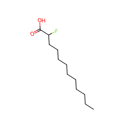 CCCCCCCCCCC(F)C(=O)O